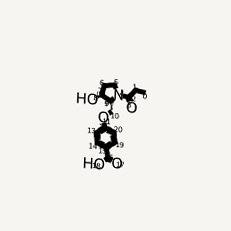 CCC(=O)N1CC[C@H](O)[C@H]1COc1ccc(C(=O)O)cc1